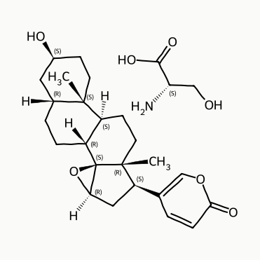 C[C@]12CC[C@H](O)C[C@H]1CC[C@@H]1[C@@H]2CC[C@]2(C)[C@@H](c3ccc(=O)oc3)C[C@H]3O[C@]132.N[C@@H](CO)C(=O)O